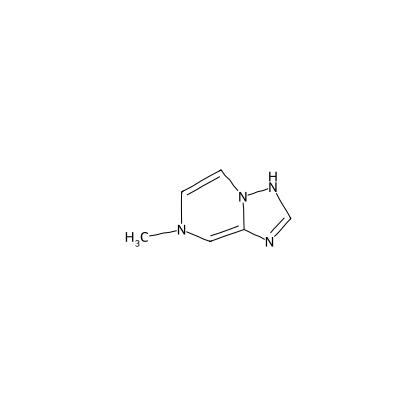 CN1C=CN2NC=NC2=C1